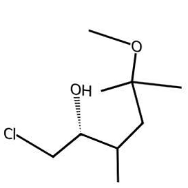 COC(C)(C)CC(C)[C@@H](O)CCl